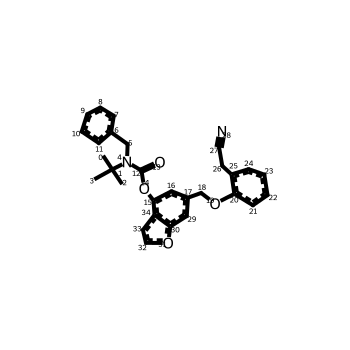 CC(C)(C)N(Cc1ccccc1)C(=O)Oc1cc(COc2ccccc2CC#N)cc2occc12